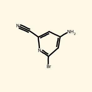 N#Cc1cc(N)cc(Br)n1